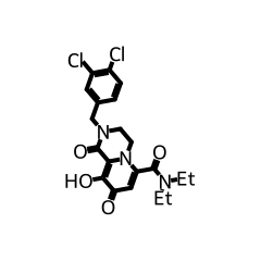 CCN(CC)C(=O)c1cc(=O)c(O)c2n1CCN(Cc1ccc(Cl)c(Cl)c1)C2=O